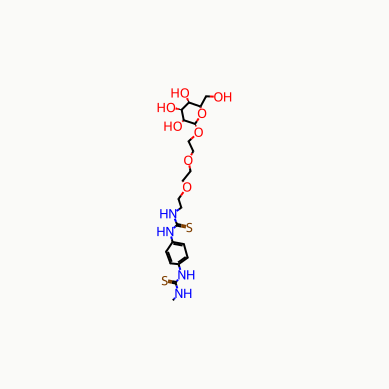 CNC(=S)Nc1ccc(NC(=S)NCCOCCOCCO[C@H]2OC(CO)[C@H](O)[C@H](O)C2O)cc1